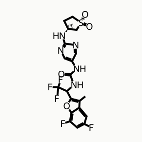 Cc1c(C(NC(=O)Nc2cnc(N[C@@H]3CCS(=O)(=O)C3)nc2)C(F)(F)F)oc2c(F)cc(F)cc12